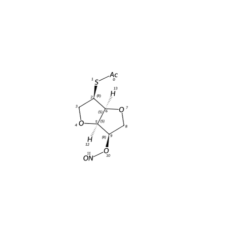 CC(=O)S[C@@H]1CO[C@H]2[C@@H]1OC[C@H]2ON=O